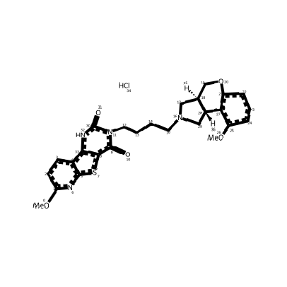 COc1ccc2c(n1)sc1c(=O)n(CCCCN3C[C@H]4COc5cccc(OC)c5[C@@H]4C3)c(=O)[nH]c12.Cl